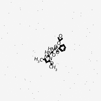 COc1cc(C)nc(NC(=O)NS(=O)(=O)c2ccccc2OC2COC2)n1